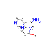 NCCN1CCCC1=O.c1cncnc1